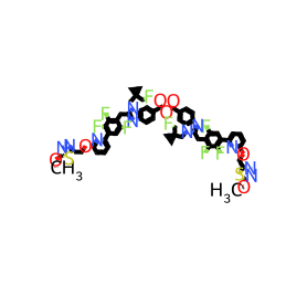 COc1nnc(COc2cccc(-c3cc(F)c(Cc4nc5ccc(C(=O)OC(=O)c6ccc7nc(Cc8c(F)cc(-c9cccc(OCc%10nnc(OC)s%10)n9)c(F)c8F)n(CC8(CF)CC8)c7c6)cc5n4CC4(CF)CC4)c(F)c3F)n2)s1